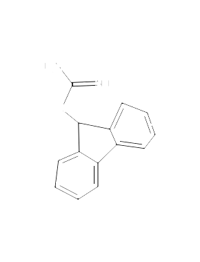 N=C(N)SC1c2ccccc2-c2ccccc21